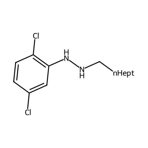 CCCCCCCCNNc1cc(Cl)ccc1Cl